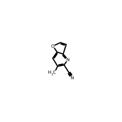 Cc1cc2occc2nc1C#N